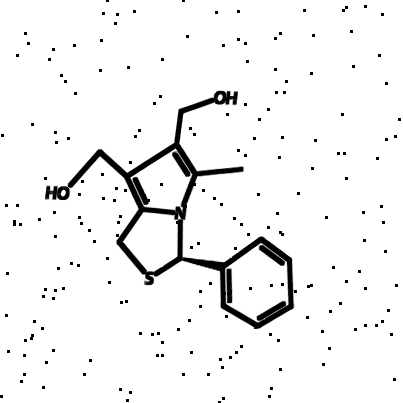 Cc1c(CO)c(CO)c2n1[C@@H](c1ccccc1)SC2